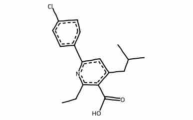 CCc1nc(-c2ccc(Cl)cc2)cc(CC(C)C)c1C(=O)O